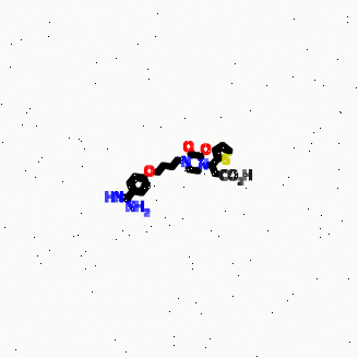 N=C(N)c1ccc(OCCCCN2CCN(C(CC(=O)O)c3cccs3)C(=O)C2=O)cc1